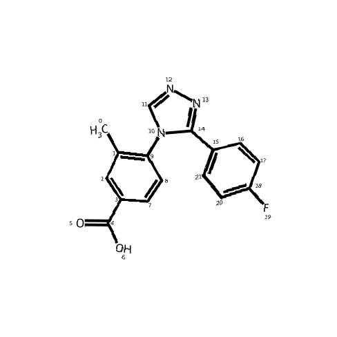 Cc1cc(C(=O)O)ccc1-n1cnnc1-c1ccc(F)cc1